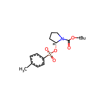 Cc1ccc(S(=O)(=O)O[C@@H]2CCCN2C(=O)OC(C)(C)C)cc1